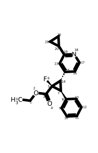 CCOC(=O)[C@@]1(F)[C@H](c2ccccc2)[C@H]1c1ccnc(C2CC2)c1